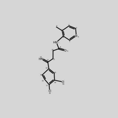 Cc1ccncc1NC(=O)CCC(=N)c1ccc(Cl)c(Cl)c1